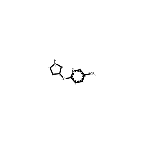 FC(F)(F)c1ccc(OC2CCNC2)nc1